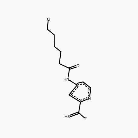 B=C(F)c1cc(NC(=O)CCCCCCl)ccn1